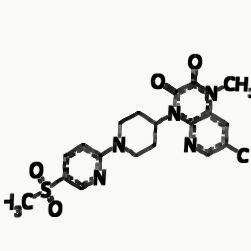 Cn1c(=O)c(=O)n(C2CCN(c3ccc(S(C)(=O)=O)cn3)CC2)c2ncc(Cl)cc21